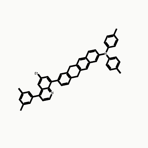 CCc1cc(-c2ccc3c(c2)Cc2cc4ccc(N(c5ccc(C)cc5)c5ccc(C)cc5)cc4cc2C3)c2nccc(-c3cc(C)cc(C)c3)c2c1